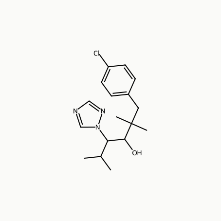 CC(C)C(C(O)C(C)(C)Cc1ccc(Cl)cc1)n1cncn1